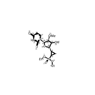 CCOP(=O)(OCC)C1CC1[C@H]1O[C@@H](n2ccc(=O)[nH]c2=O)[C@@H](OC)C1O